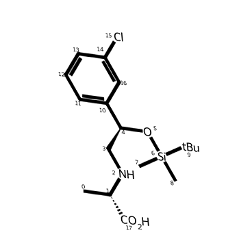 C[C@H](NC[C@H](O[Si](C)(C)C(C)(C)C)c1cccc(Cl)c1)C(=O)O